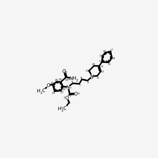 CCOC(=O)N(CCCCN1CC=C(c2ccccc2)CC1)c1ccc(OC)cc1C(N)=O